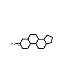 O[C@@H]1CCC2C(CCC3C4CCCC4CCC23)C1